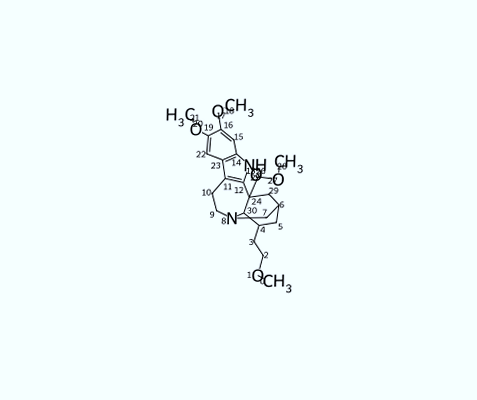 COCCC1CC2CN3CCc4c([nH]c5cc(OC)c(OC)cc45)C(C(=O)OC)(C2)C13